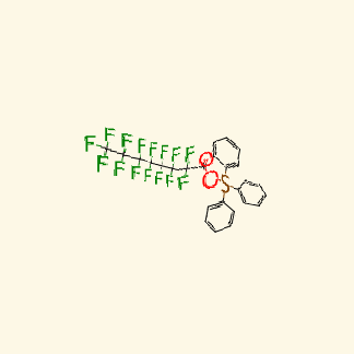 O=C(OS(c1ccccc1)(c1ccccc1)c1ccccc1)C(F)(F)C(F)(F)C(F)(F)C(F)(F)C(F)(F)C(F)(F)C(F)(F)F